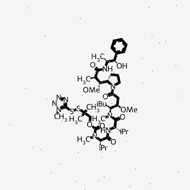 CC[C@H](C)[C@@H]([C@@H](CC(=O)N1CCC[C@H]1[C@H](OC)[C@@H](C)C(=O)N[C@H](C)[C@@H](O)c1ccccc1)OC)N(C)C(=O)[C@@H](NC(=O)[C@H](C(C)C)N(C)C(=O)OCC(C)(C)SSc1nnnn1C)C(C)C